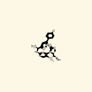 C[C@H](Nc1ncc(F)c(N2C(=O)OC[C@@H]2[C@@H](C)OC(C)(C)C)n1)c1cc(-c2ccc(Cl)cc2)no1